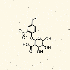 O=C(O)C1C(Oc2ccc(CI)cc2[N+](=O)[O-])OC(O)C(O)C1O